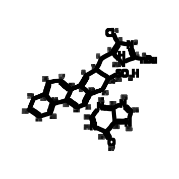 CCCCc1nc(Cl)c(CC2C=c3c(ccc4c5c(ccc34)CC=CC=5)CC2S(=O)(=O)O)[nH]1.O=C1N=CN=C2N=CN=C12